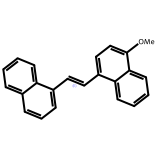 COc1ccc(/C=C/c2cccc3ccccc23)c2ccccc12